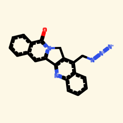 [N-]=[N+]=NCc1c2c(nc3ccccc13)-c1cc3ccccc3c(=O)n1C2